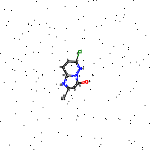 CCc1cc(=O)n2nc(Cl)ccc2n1